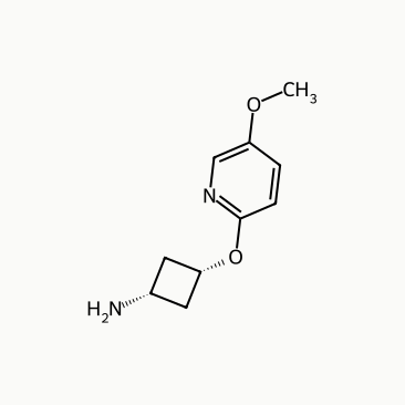 COc1ccc(O[C@H]2C[C@@H](N)C2)nc1